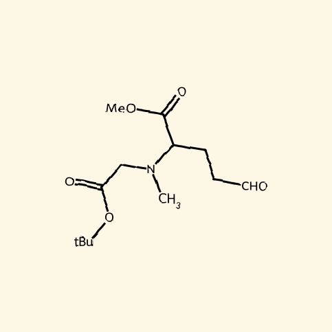 COC(=O)C(CCC=O)N(C)CC(=O)OC(C)(C)C